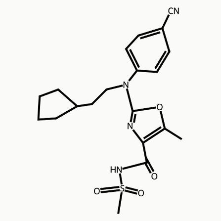 Cc1oc(N(CCC2CCCC2)c2ccc(C#N)cc2)nc1C(=O)NS(C)(=O)=O